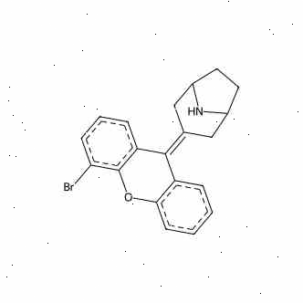 Brc1cccc2c1Oc1ccccc1C2=C1CC2CCC(C1)N2